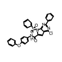 O=C(Nc1ccc(Oc2ccccc2)cc1)c1cc2c(Cl)nc(-c3ccccc3)nc2n1S(=O)(=O)c1ccccc1